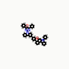 c1ccc(-c2nc(-n3c4ccccc4c4cc(-c5ccc6c(c5)Oc5cc7c(c8cccc-6c58)c5ccccc5n7-c5ccccc5)ccc43)nc3c2oc2ccccc23)cc1